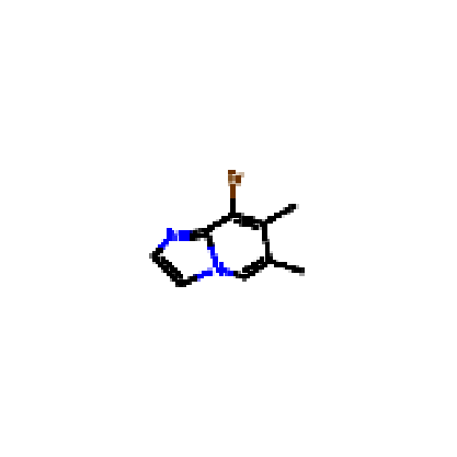 Cc1cn2ccnc2c(Br)c1C